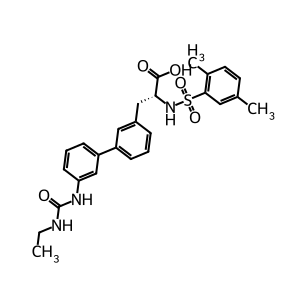 CCNC(=O)Nc1cccc(-c2cccc(C[C@@H](NS(=O)(=O)c3cc(C)ccc3C)C(=O)O)c2)c1